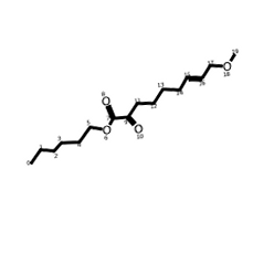 CCCCCCOC(=O)C(=O)CCCCC=CCOC